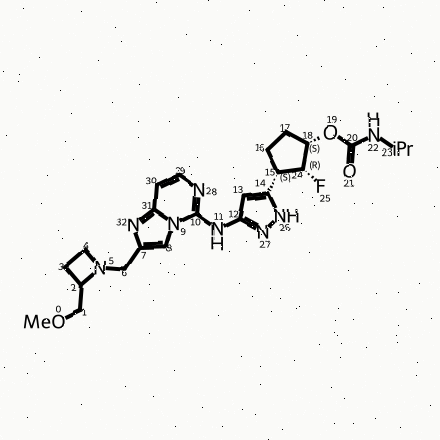 COCC1CCN1Cc1cn2c(Nc3cc([C@@H]4CC[C@H](OC(=O)NC(C)C)[C@@H]4F)[nH]n3)nccc2n1